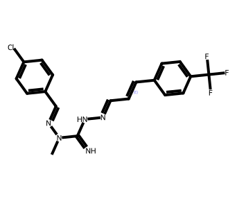 CN(N=Cc1ccc(Cl)cc1)C(=N)NN=C/C=C/c1ccc(C(F)(F)F)cc1